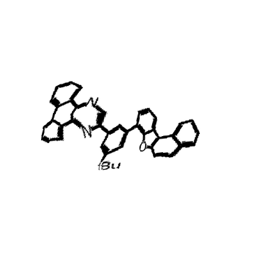 CC(C)(C)c1cc(-c2cnc3c4ccccc4c4ccccc4c3n2)cc(-c2cccc3c2oc2ccc4ccccc4c23)c1